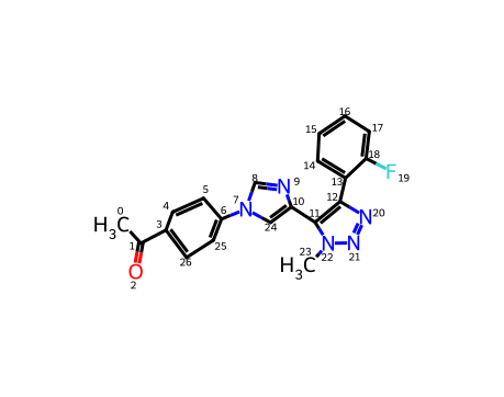 CC(=O)c1ccc(-n2cnc(-c3c(-c4ccccc4F)nnn3C)c2)cc1